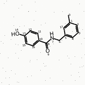 Cc1cccc(CNC(=O)c2ccc(O)cc2)c1